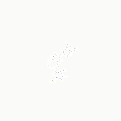 Cc1nc(N)nc(N2CCOc3ccc(-c4ccc(N)c(N)c4)cc3C2)c1C(C)C